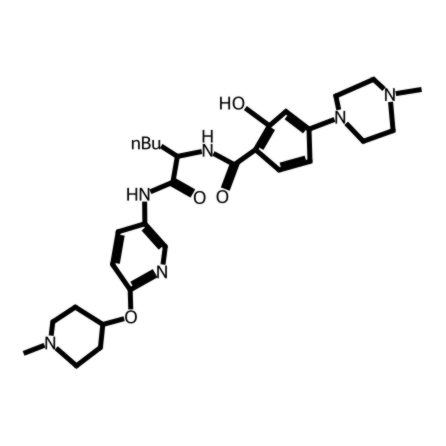 CCCCC(NC(=O)c1ccc(N2CCN(C)CC2)cc1O)C(=O)Nc1ccc(OC2CCN(C)CC2)nc1